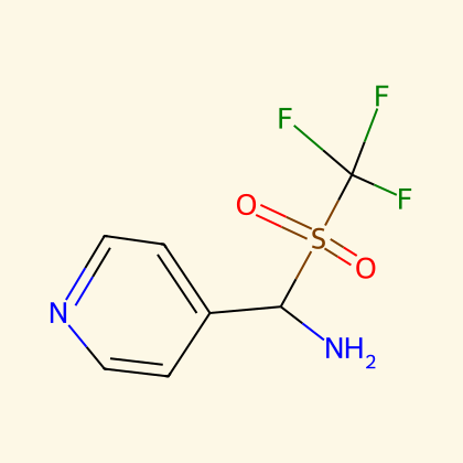 NC(c1ccncc1)S(=O)(=O)C(F)(F)F